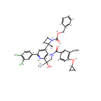 COc1cc(C(=O)NCC(O)(c2cc([C@]3(C)CCN3C(=O)OCc3ccccc3)cc(-c3ccc(F)c(Cl)c3)n2)C(F)(F)F)ccc1OC1CC1